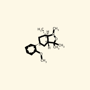 COc1ccccc1[C@H]1C[C@@H]2[C@@H]([C@@H](C)C1)N(C)OC2(C)C